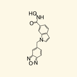 O=C(NO)c1ccc2ccn(Cc3ccc4nonc4c3)c2c1